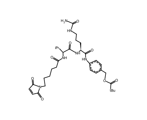 CC(C)C(NC(=O)CCCCCN1C(=O)C=CC1=O)C(=O)N[C@@H](CCCNC(N)=O)C(=O)Nc1ccc(COC(=O)C(C)(C)C)cc1